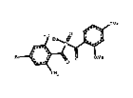 CCC(C)P(=O)(C(=O)c1ccc(OC)cc1OC)C(=O)c1c(C)cc(C(C)(C)C)cc1C